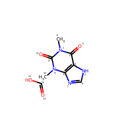 Cn1c(=O)c2[nH]cnc2n(C)c1=O.O=CO